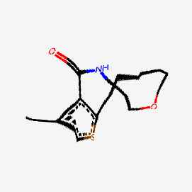 Cc1csc2c1C(=O)NC21CCOC1